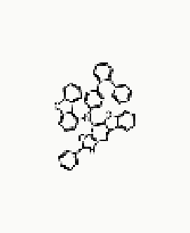 c1ccc(-c2nc3cc4c(oc5ccccc54)c(N(c4ccc(-c5ccccc5-c5ccccc5)cc4)c4cccc5oc6ccccc6c45)c3o2)cc1